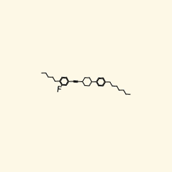 CCCCCCCc1ccc(C2CCC(C#Cc3ccc(CCCCC)c(F)c3)CC2)cc1